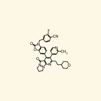 Cc1cc(-c2c(CCC3CCOCC3)nc3c(c2-c2ccc4c(c2)oc(=O)n4Cc2ccc(C#N)c(F)c2)c(=O)n2n3CCC2)ccn1